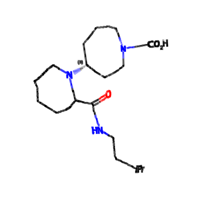 CC(C)CCNC(=O)C1CCCCN1[C@@H]1CCCN(C(=O)O)CC1